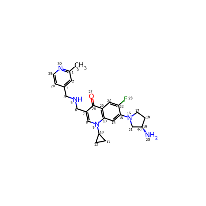 Cc1cc(CNCc2cn(C3CC3)c3cc(N4CC[C@@H](N)C4)c(F)cc3c2=O)ccn1